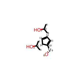 CC(C)O.CC(C)O.[O]=[V][C]1=CC=CC1